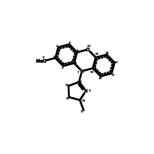 COc1ccc2c(c1)N(C1=NC(C)CC1)c1ccccc1O2